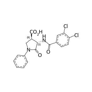 O=C(N[C@@H]1C(=O)N(c2ccccc2)C[C@H]1C(=O)O)c1ccc(Cl)c(Cl)c1